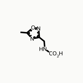 Cc1nc(CNC(=O)O)no1